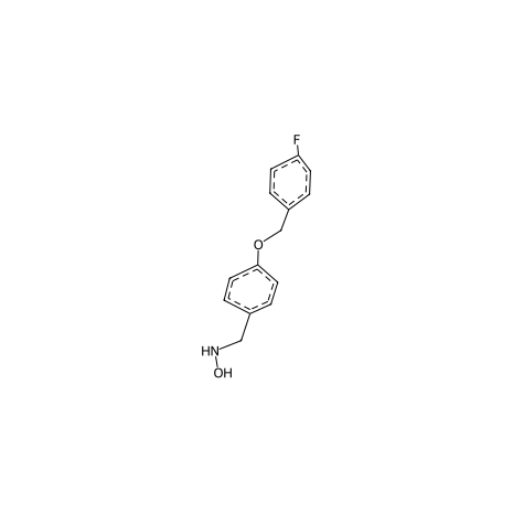 ONCc1ccc(OCc2ccc(F)cc2)cc1